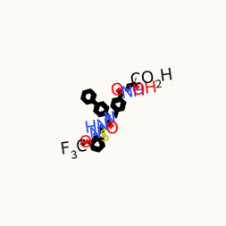 O=C(NC[C@@H](O)C(=O)O)c1ccc(CN(C(=O)Nc2nc3c(OC(F)(F)F)cccc3s2)c2ccc(C3=CCCCC3)cc2)cc1